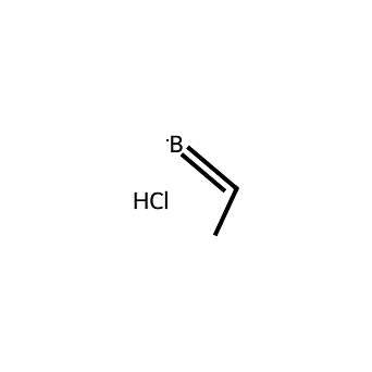 Cl.[B]=CC